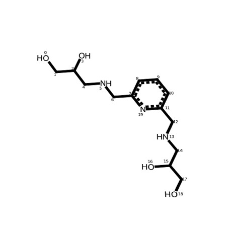 OCC(O)CNCc1cccc(CNCC(O)CO)n1